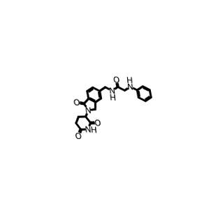 O=C(CNc1ccccc1)NCc1ccc2c(c1)CN(C1CCC(=O)NC1=O)C2=O